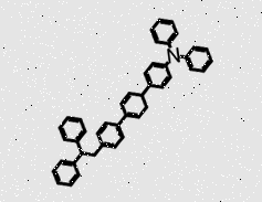 C1=CC(c2ccc(N(c3ccccc3)c3ccccc3)cc2)CC=C1c1ccc(CC(c2ccccc2)c2ccccc2)cc1